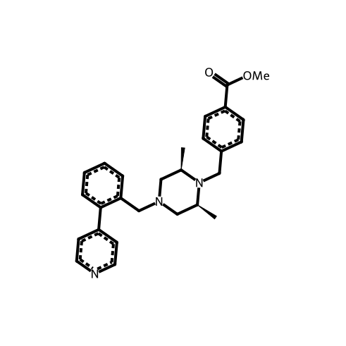 COC(=O)c1ccc(CN2[C@H](C)CN(Cc3ccccc3-c3ccncc3)C[C@@H]2C)cc1